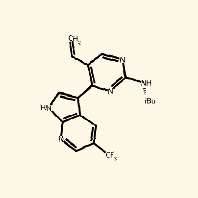 C=Cc1cnc(N[C@@H](C)CC)nc1-c1c[nH]c2ncc(C(F)(F)F)cc12